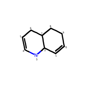 C1=CC2[N]C=CCC2CC1